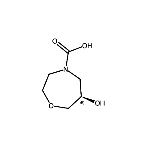 O=C(O)N1CCOC[C@H](O)C1